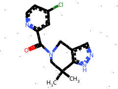 CC1(C)CN(C(=O)c2cc(Cl)ccn2)Cc2cn[nH]c21